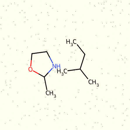 CC1NCCO1.CCC(C)C